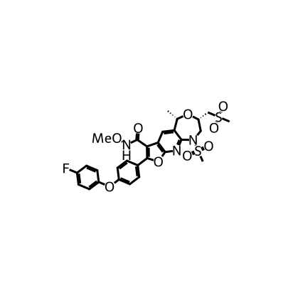 CONC(=O)c1c(-c2ccc(Oc3ccc(F)cc3)cc2)oc2nc3c(cc12)[C@H](C)O[C@H](CS(C)(=O)=O)CN3S(C)(=O)=O